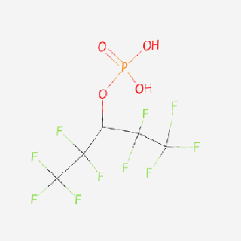 O=P(O)(O)OC(C(F)(F)C(F)(F)F)C(F)(F)C(F)(F)F